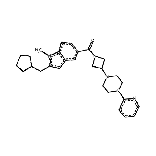 Cn1c(CC2CCCC2)cc2cc(C(=O)N3CC(N4CCN(c5ccccn5)CC4)C3)ccc21